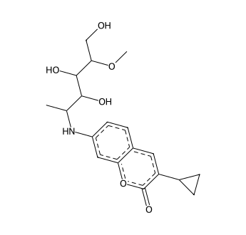 COC(CO)C(O)C(O)C(C)Nc1ccc2cc(C3CC3)c(=O)oc2c1